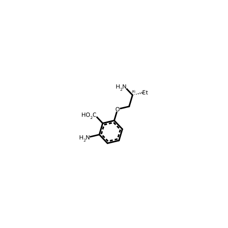 CC[C@@H](N)COc1cccc(N)c1C(=O)O